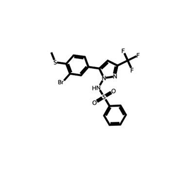 CSc1ccc(-c2cc(C(F)(F)F)nn2NS(=O)(=O)c2ccccc2)cc1Br